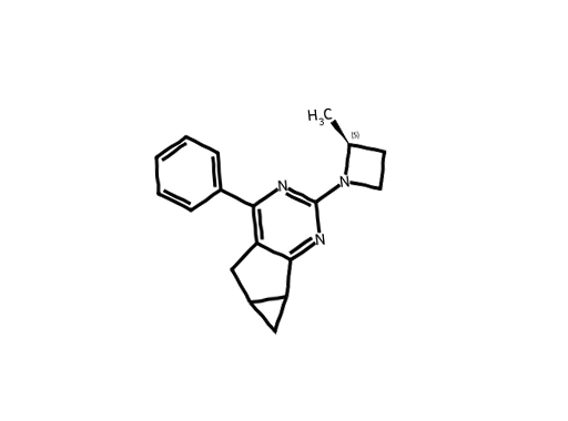 C[C@H]1CCN1c1nc(-c2ccccc2)c2c(n1)C1CC1C2